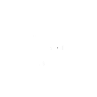 Cl.OC1CCCCO1